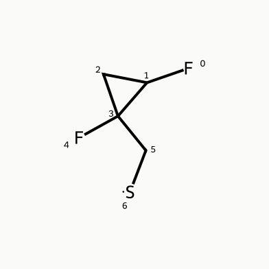 FC1CC1(F)C[S]